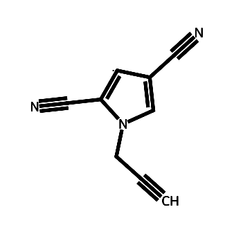 C#CCn1cc(C#N)[c]c1C#N